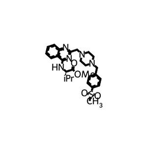 COC(=O)[C@@H](Nc1nc(CN2CCN(Cc3ccc(S(C)(=O)=O)cc3)CC2)nc2ccccc12)C(C)C